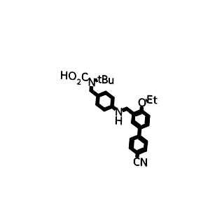 CCOc1ccc(-c2ccc(C#N)cc2)cc1CNC1CCC(CN(C(=O)O)C(C)(C)C)CC1